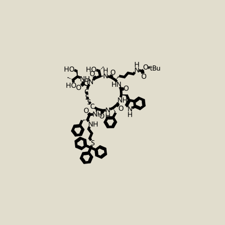 C[C@@H](O)[C@@H]1NC(=O)[C@H](CCCCNC(=O)OC(C)(C)C)NC(=O)[C@@H](Cc2c[nH]c3ccccc23)NC(=O)[C@H](Cc2ccccc2)NC(=O)[C@@H](NC(=O)[C@@H](Cc2ccccc2)NCCCSC(c2ccccc2)(c2ccccc2)c2ccccc2)CSSC[C@@H](C(=O)N[C@H](CO)[C@@H](C)O)NC1=O